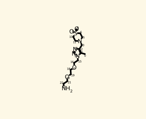 Cc1c(CN2CCS(=O)(=O)CC2)nnn1CCOCCOCCN